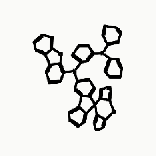 c1ccc(N(c2ccccc2)c2cccc(N(c3ccc4c(c3)-c3ccccc3C43c4ccccc4Oc4ccccc43)c3cccc4c3oc3ccccc34)c2)cc1